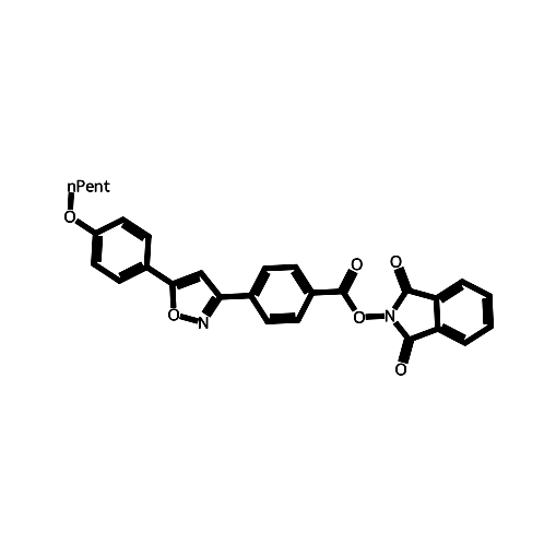 CCCCCOc1ccc(-c2cc(-c3ccc(C(=O)ON4C(=O)c5ccccc5C4=O)cc3)no2)cc1